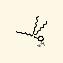 Br.CCCCCCCC[PH](CCCCCCCC)(CCCCCCCC)Cc1ccccc1.N